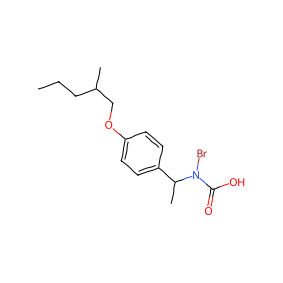 CCCC(C)COc1ccc(C(C)N(Br)C(=O)O)cc1